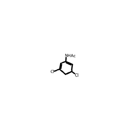 CC(=O)NC1=CC(Cl)CC(Cl)=C1